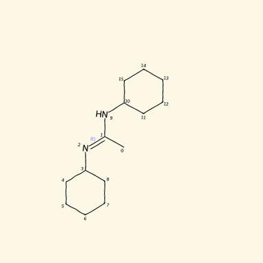 C/C(=N\C1CCCCC1)NC1CCCCC1